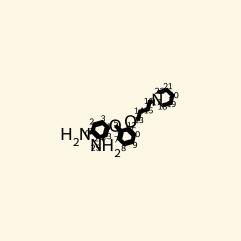 Nc1ccc(Oc2ccccc2OCCCCN2CCCCC2)cc1N